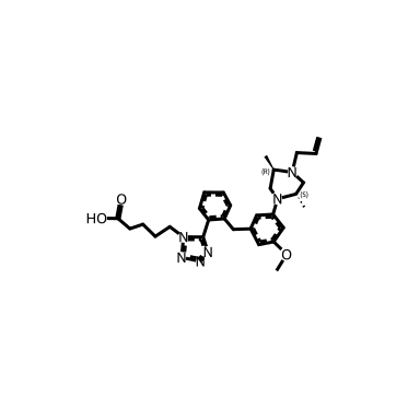 C=CCN1C[C@H](C)N(c2cc(Cc3ccccc3-c3nnnn3CCCCC(=O)O)cc(OC)c2)C[C@H]1C